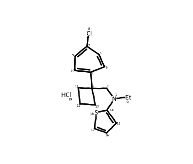 CCN(CC1(c2ccc(Cl)cc2)CCC1)c1cccs1.Cl